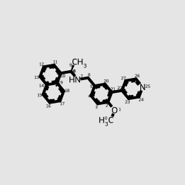 COc1ccc(CN[C@H](C)c2cccc3ccccc23)cc1-c1ccncc1